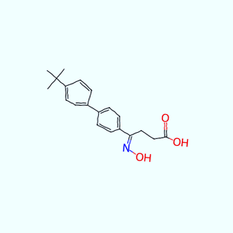 CC(C)(C)c1ccc(-c2ccc(/C(CCC(=O)O)=N/O)cc2)cc1